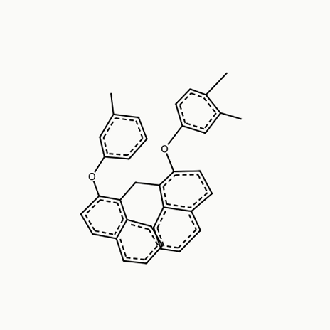 Cc1cccc(Oc2ccc3ccccc3c2Cc2c(Oc3ccc(C)c(C)c3)ccc3ccccc23)c1